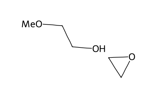 C1CO1.COCCO